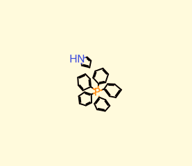 c1cc[nH]c1.c1ccc(P(c2ccccc2)(c2ccccc2)(c2ccccc2)c2ccccc2)cc1